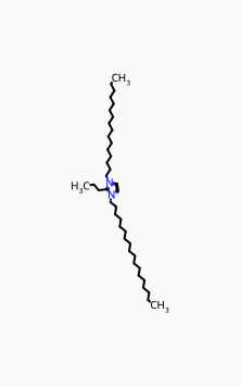 CCCCCCCCCCCCCCCCCC[n+]1ccn(CCCCCCCCCCCCCCCC)c1CCC